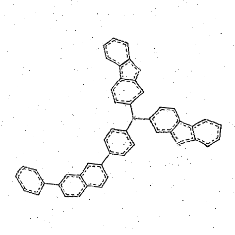 c1ccc(-c2ccc3ccc(-c4ccc(N(c5ccc6c(c5)sc5ccccc56)c5ccc6c(c5)sc5ccccc56)cc4)cc3c2)cc1